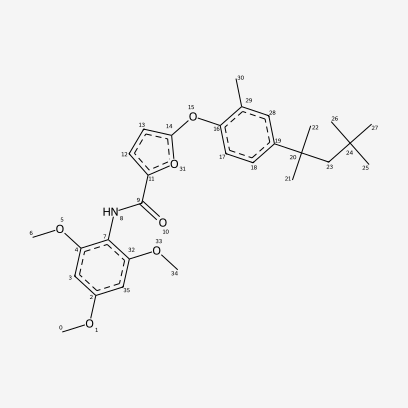 COc1cc(OC)c(NC(=O)c2ccc(Oc3ccc(C(C)(C)CC(C)(C)C)cc3C)o2)c(OC)c1